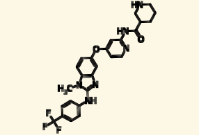 Cn1c(Nc2ccc(C(F)(F)F)cc2)nc2cc(Oc3ccnc(NC(=O)C4CCCNC4)c3)ccc21